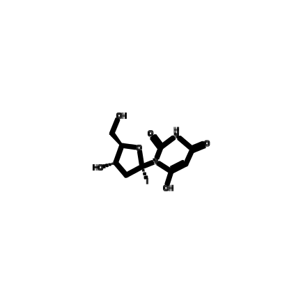 O=c1cc(O)n([C@@]2(I)C[C@H](O)[C@@H](CO)O2)c(=O)[nH]1